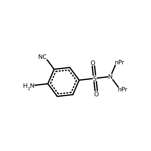 CCCN(CCC)S(=O)(=O)c1ccc(N)c(C#N)c1